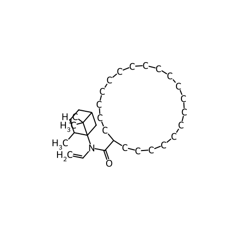 C=CN(C(=O)C1CCCCCCCCCCCCCCCCCCC1)C12CC(CCC1C)C2(C)C